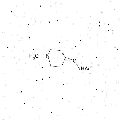 CC(=O)NOC1CCN(C)CC1